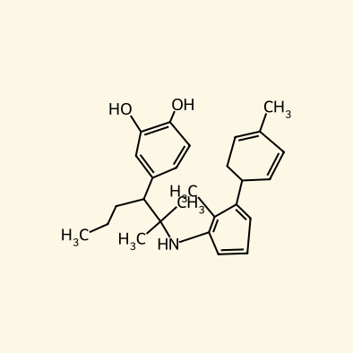 CCCC(c1ccc(O)c(O)c1)C(C)(C)Nc1cccc(C2C=CC(C)=CC2)c1C